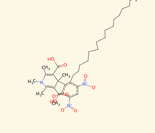 CCCCCCCCCCCCCCCc1c([N+](=O)[O-])cc([N+](=O)[O-])c(OC)c1C1(C)C(C(=O)O)=C(C)N(C)C(C)=C1C(=O)O